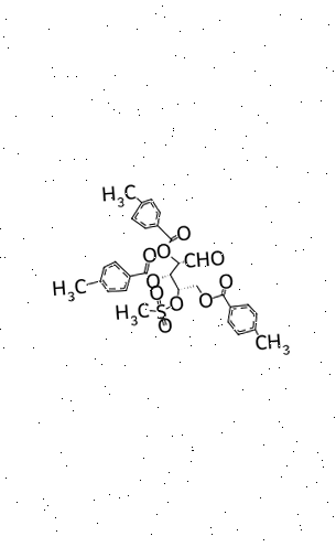 Cc1ccc(C(=O)OC[C@H](OS(C)(=O)=O)[C@H](OC(=O)c2ccc(C)cc2)[C@@H](C=O)OC(=O)c2ccc(C)cc2)cc1